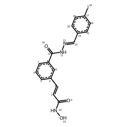 O=C(/C=C/c1cccc(C(=O)N/N=C/c2ccc(I)cc2)c1)NO